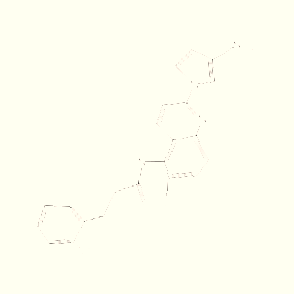 Nc1ccn(-c2ccc3c(NC(=O)CCc4ccccc4Cl)c(Cl)ccc3n2)c1